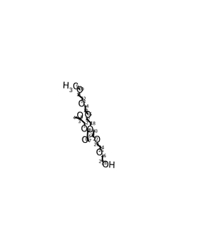 C(OCC1CO1)C1CO1.COCCOCCOCCOCCOCCOCCO